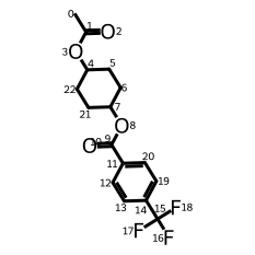 CC(=O)OC1CCC(OC(=O)c2ccc(C(F)(F)F)cc2)CC1